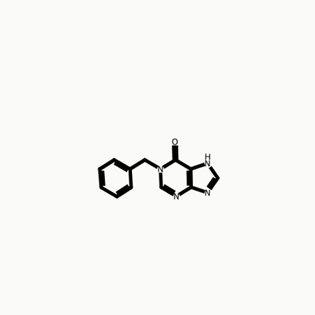 O=c1c2[nH]cnc2ncn1Cc1ccccc1